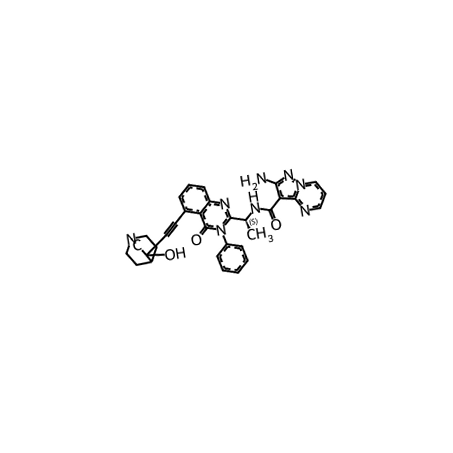 C[C@H](NC(=O)c1c(N)nn2cccnc12)c1nc2cccc(C#CC3(O)CN4CCC3CC4)c2c(=O)n1-c1ccccc1